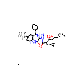 CCCCC(O)C(CC1CC1)C(=O)NC1N=C(c2ccccc2)c2cc(C)ccc2NC1=O